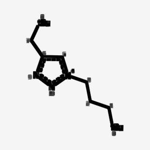 CC(C)(C)CCCn1cc(CC(C)(C)C)nn1